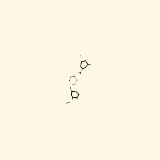 CCOc1cc(CN2CCC(NC(=O)c3cc(OC)cc(OC)c3)CC2)ccc1Cl